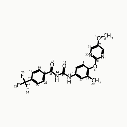 COc1cnc(Oc2ccc(NC(=O)NC(=O)c3ccc(C(F)(F)F)cc3)cc2C)nc1